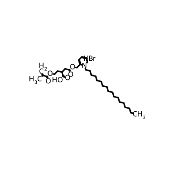 Br.C=C(C)C(=O)OCCC(CC(=O)OCC1=CC=CCN1CCCCCCCCCCCCCCCCCC)C(=O)O